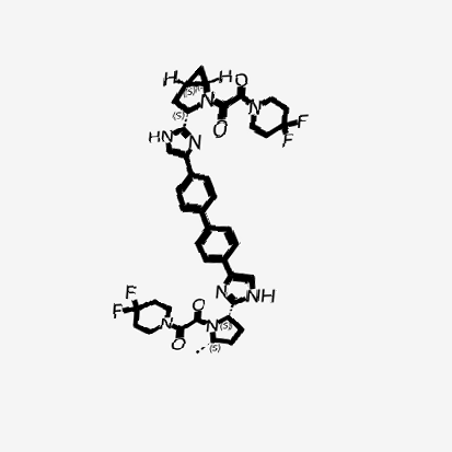 C[C@H]1CC[C@@H](c2nc(-c3ccc(-c4ccc(-c5c[nH]c([C@@H]6C[C@@H]7C[C@@H]7N6C(=O)C(=O)N6CCC(F)(F)CC6)n5)cc4)cc3)c[nH]2)N1C(=O)C(=O)N1CCC(F)(F)CC1